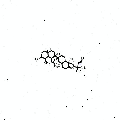 CC/C=C/C(C)(O)CCC1(C)C(=O)CCC2(C)C1CCC1(C)C2CCC2C3C(C)C(C)CCC3(C)CCC21C